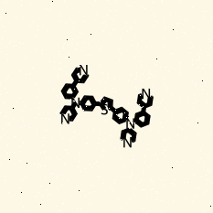 c1cc(-c2ccncc2)cc(N(c2ccncc2)c2ccc(-c3ccc(-c4ccc(N(c5ccncc5)c5cccc(-c6ccncc6)c5)cc4)s3)cc2)c1